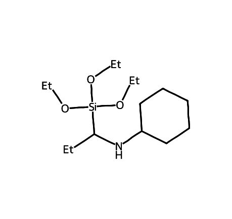 CCO[Si](OCC)(OCC)C(CC)NC1CCCCC1